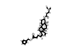 C[C@H](CCC(=O)OCc1ccccc1)[C@H]1CC[C@H]2[C@@H]3CC[C@@H]4C[C@@H](OC(=O)CCN(C)C)CC[C@]4(C)[C@H]3CC[C@]12C